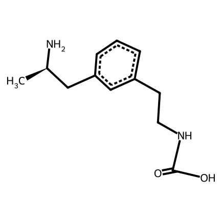 C[C@@H](N)Cc1cccc(CCNC(=O)O)c1